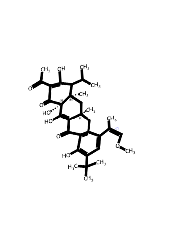 CO/C=C(/C)c1cc(C(C)(C)C)c(O)c2c1C[C@]1(C)C[C@]3(C)C(C(C)C)C(O)=C(C(C)=O)C(=O)[C@]3(O)C(O)=C1C2=O